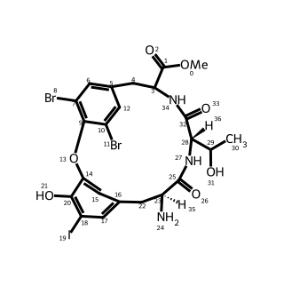 COC(=O)C1Cc2cc(Br)c(c(Br)c2)Oc2cc(cc(I)c2O)C[C@H](N)C(=O)N[C@@H](C(C)O)C(=O)N1